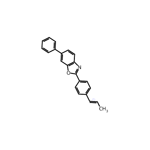 C/C=C/c1ccc(-c2nc3ccc(-c4ccccc4)cc3o2)cc1